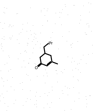 CC1=CC(=O)CC(CC(C)C)C1